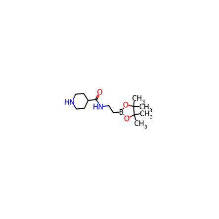 CC1(C)OB(CCNC(=O)C2CCNCC2)OC1(C)C